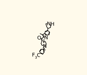 Cc1c(C(=O)N2CCN(Cc3ccc(C(F)(F)F)cc3)CC2)n(C)c2ccc(C3CCNCC3)cc12